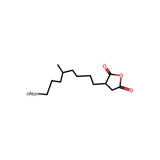 CCCCCCCCCCCCC(C)CCCCC1CC(=O)OC1=O